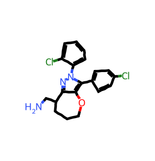 NCC1CCCOc2c1nn(-c1ccccc1Cl)c2-c1ccc(Cl)cc1